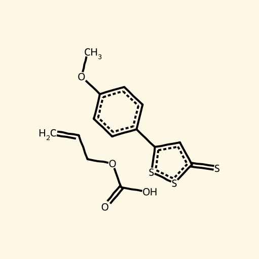 C=CCOC(=O)O.COc1ccc(-c2cc(=S)ss2)cc1